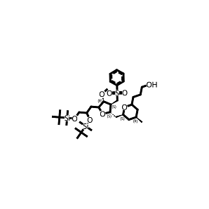 CO[C@H]1C(CC(CO[Si](C)(C)C(C)(C)C)O[Si](C)(C)C(C)(C)C)O[C@@H](C[C@@H]2C[C@H](C)CC(CCCO)O2)[C@@H]1CS(=O)(=O)c1ccccc1